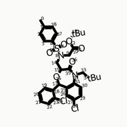 Cc1ccc(S(=O)(=O)N(CC(=O)OC(C)(C)C)CC2OC(c3ccccc3Cl)c3cc(Cl)ccc3N(CC(C)(C)C)C2=O)cc1